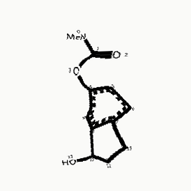 CNC(=O)Oc1ccc2c(c1)C(O)CC2